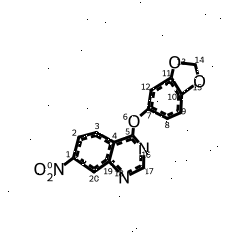 O=[N+]([O-])c1ccc2c(Oc3ccc4c(c3)OCO4)ncnc2c1